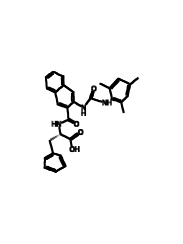 Cc1cc(C)c(NC(=O)Nc2cc3ccccc3cc2C(=O)N[C@@H](Cc2ccccc2)C(=O)O)c(C)c1